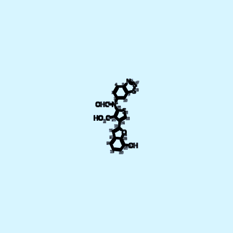 O=CN(c1ccc2nnsc2c1)c1scc(-c2cc3cccc(O)c3o2)c1C(=O)O